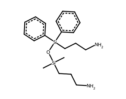 C[Si](C)(CCCN)O[Si](CCCN)(c1ccccc1)c1ccccc1